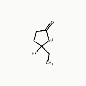 CCC1(S)NC(=O)CS1